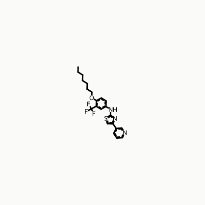 CCCCCCCOc1ccc(Nc2nc(-c3cccnc3)cs2)cc1C(F)(F)F